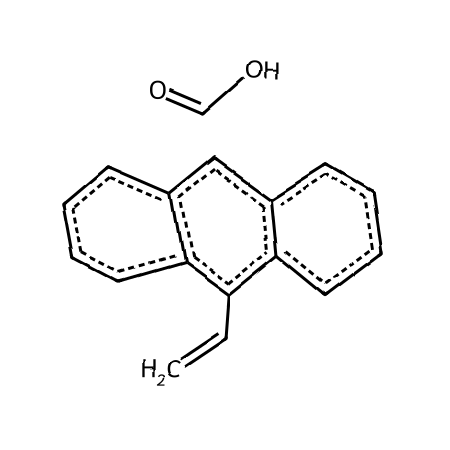 C=Cc1c2ccccc2cc2ccccc12.O=CO